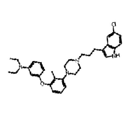 CCN(CC)c1cccc(Oc2cccc(N3CCN(CCCc4c[nH]c5ccc(Cl)cc45)CC3)c2C)c1